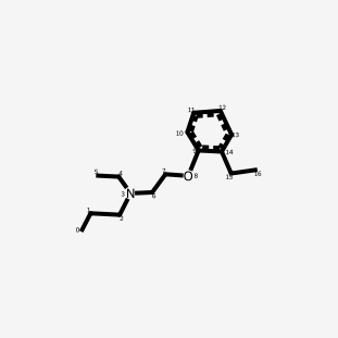 CCCN(CC)CCOc1ccccc1CC